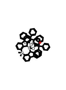 C[Si]1(C)c2cccc3c2[CH](c2ccccc2-3)[Ti]([O]C(=O)C(c2ccccc2)(c2ccccc2)c2ccccc2)([O]C(=O)C(c2ccccc2)(c2ccccc2)c2ccccc2)[CH]2c3ccccc3-c3cccc1c32